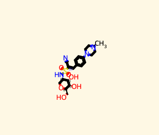 CN1CCN(c2ccc(/C=C(\C#N)S(=O)(=O)N[C@H]3CO[C@H](CO)[C@@H](O)[C@@H]3O)cc2)CC1